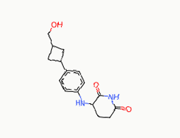 O=C1CCC(Nc2ccc(C3CC(CO)C3)cc2)C(=O)N1